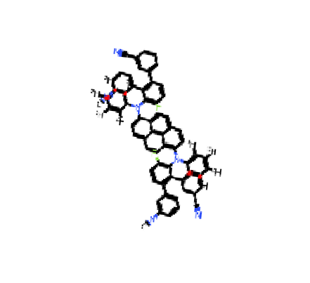 [2H]c1c([2H])c([2H])c(N(c2c(F)ccc(-c3cccc([N+]#[C-])c3)c2-c2cccc(C#N)c2)c2ccc3ccc4c(N(c5c([2H])c([2H])c([2H])c([2H])c5[2H])c5c(F)ccc(-c6cccc(C#N)c6)c5-c5cccc([N+]#[C-])c5)ccc5ccc2c3c54)c([2H])c1[2H]